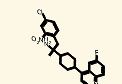 CC(N)(Cc1ccc(Cl)cc1[N+](=O)[O-])C1CCC(c2ccnc3ccc(F)cc23)CC1